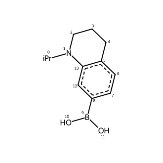 CC(C)N1CCCc2ccc(B(O)O)cc21